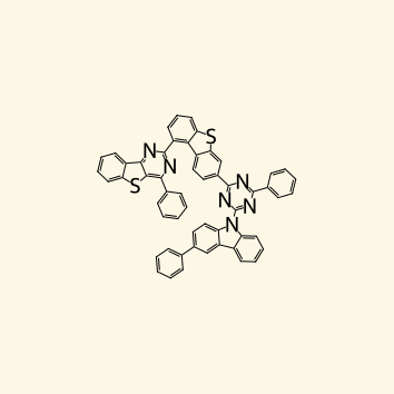 c1ccc(-c2ccc3c(c2)c2ccccc2n3-c2nc(-c3ccccc3)nc(-c3ccc4c(c3)sc3cccc(-c5nc(-c6ccccc6)c6sc7ccccc7c6n5)c34)n2)cc1